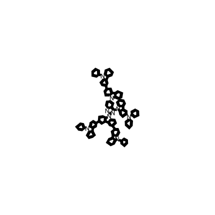 c1ccc(N(c2ccccc2)c2ccc3c(c2)c2ccccc2n3-c2nc(-n3c4ccc(-c5ccc6c(c5)c5ccccc5n6-c5ccccc5)cc4c4cc(-c5ccc6c(c5)c5ccccc5n6-c5ccccc5)ccc43)nc3ccc(-n4c5ccccc5c5cc(-c6ccc7c(c6)c6ccccc6n7-c6ccccc6)ccc54)cc23)cc1